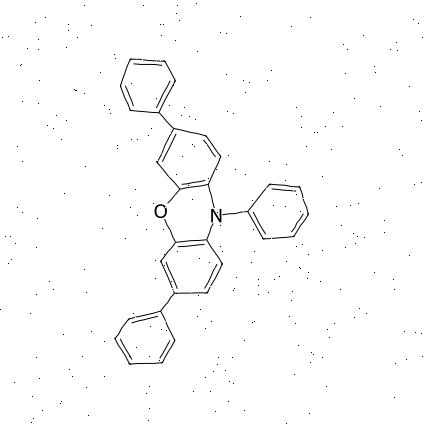 c1ccc(-c2ccc3c(c2)Oc2cc(-c4ccccc4)ccc2N3c2ccccc2)cc1